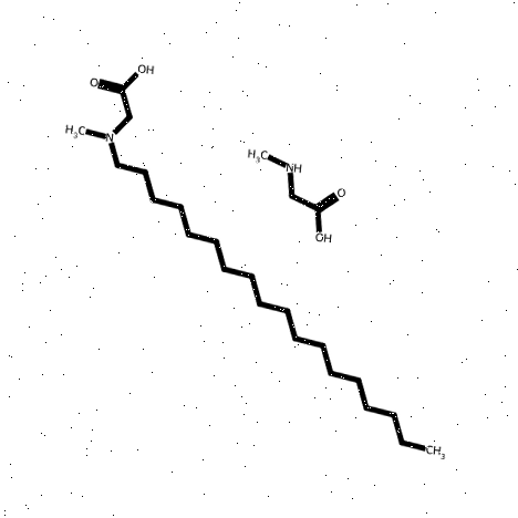 CCCCCCCCCCCCCCCCCCN(C)CC(=O)O.CNCC(=O)O